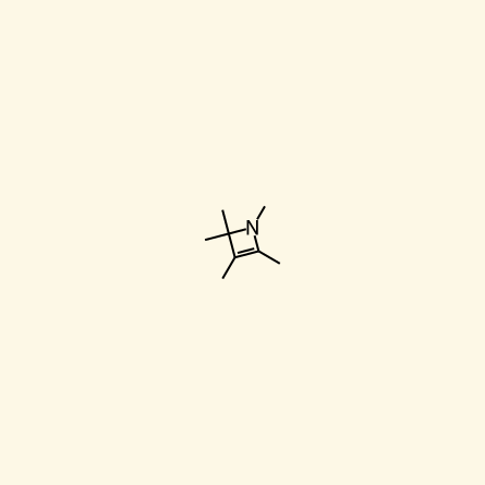 CC1=C(C)C(C)(C)N1C